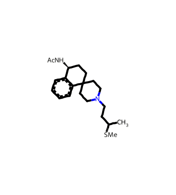 CSC(C)CCN1CCC2(CC[C@H](NC(C)=O)c3ccccc32)CC1